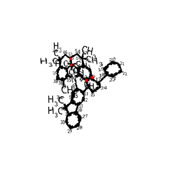 Cc1ccc2c(c1N(c1cc3c(cc1-c1ccc(-c4ccccc4)cc1)-c1ccccc1C3(C)C)c1c(C)ccc3c1C(C)(C)CCC3(C)C)C(C)(C)CCC2(C)C